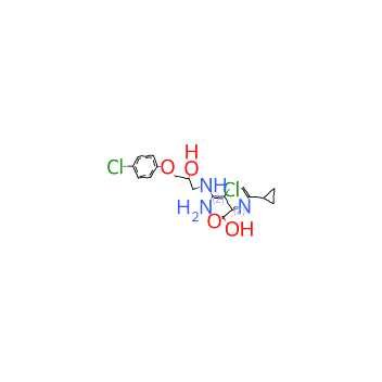 C=C(/N=C(C(=O)O)\C(Cl)=C(/N)NCC(O)COc1ccc(Cl)cc1)C1CC1